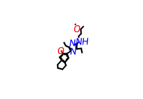 CCc1nc(-c2cc3c(cc2OC)CCCC3)c(CC)nc1NCCC(C)OC